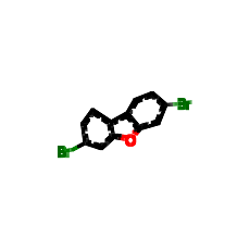 Brc1ccc2c(c1)oc1cc(Br)ccc12